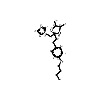 CCCCOc1ccc(CCC2(Cn3ccnc3)OC(C)C(C)O2)cc1